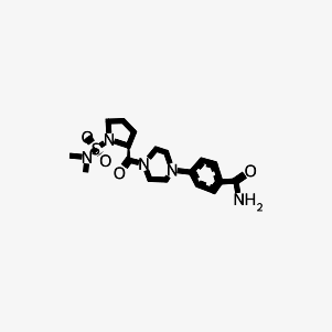 CN(C)S(=O)(=O)N1CCC[C@H]1C(=O)N1CCN(c2ccc(C(N)=O)cc2)CC1